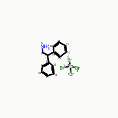 [Br][Pb]([Br])([Br])[Br].[NH3+]CC(c1ccccc1)c1ccccc1